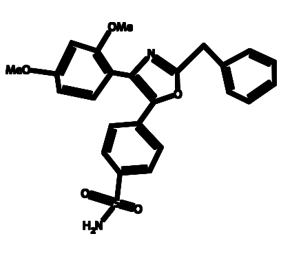 COc1ccc(-c2nc(Cc3ccccc3)oc2-c2ccc(S(N)(=O)=O)cc2)c(OC)c1